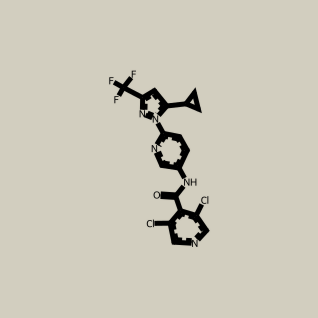 O=C(Nc1ccc(-n2nc(C(F)(F)F)cc2C2CC2)nc1)c1c(Cl)cncc1Cl